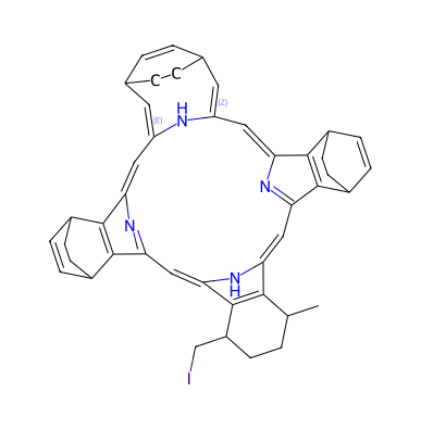 CC1CCC(CI)c2c1c1cc3nc(c/c4[nH]/c(cc5nc(cc2[nH]1)C1=C5C2C=CC1CC2)=C/C1C=CC(\C=4)CC1)C1=C3C2C=CC1CC2